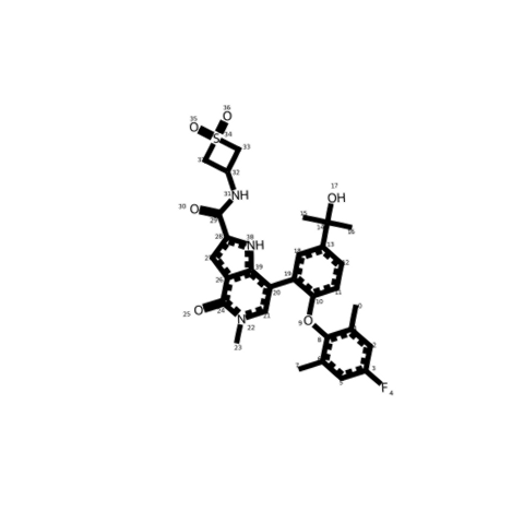 Cc1cc(F)cc(C)c1Oc1ccc(C(C)(C)O)cc1-c1cn(C)c(=O)c2cc(C(=O)NC3CS(=O)(=O)C3)[nH]c12